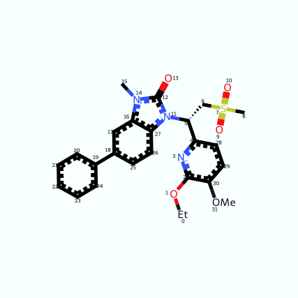 CCOc1nc([C@@H](CS(C)(=O)=O)n2c(=O)n(C)c3cc(-c4ccccc4)ccc32)ccc1OC